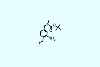 CCCc1ccc(CN(C)C(=O)OC(C)(C)C)cc1N